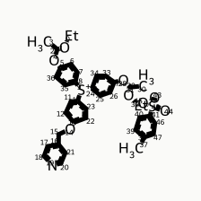 CCOC(C)Oc1ccc([S+](c2ccc(OCc3ccncc3)cc2)c2ccc(OC(C)OCC)cc2)cc1.Cc1ccc(S(=O)(=O)[O-])cc1